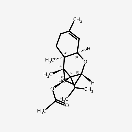 CC(=O)O[C@@H]1C[C@H]2O[C@@H]3C=C(C)CC[C@]3(C)[C@]1(C)[C@@]2(O)C(C)C